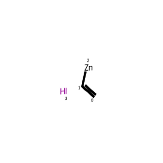 C=[CH][Zn].I